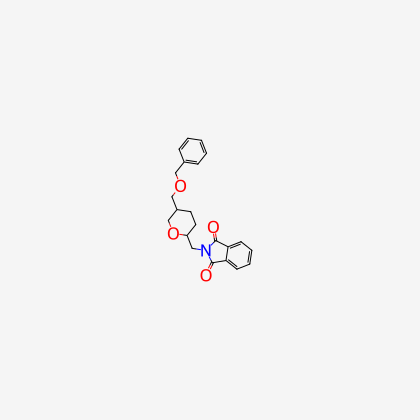 O=C1c2ccccc2C(=O)N1CC1CCC(COCc2ccccc2)CO1